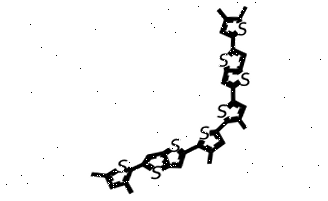 Cc1cc(C)c(-c2cc3sc(-c4sc(-c5sc(-c6cc7sc(-c8cc(C)c(C)s8)cc7s6)cc5C)cc4C)cc3s2)s1